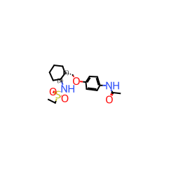 CCS(=O)(=O)N[C@H]1CCCC[C@@H]1COc1ccc(NC(C)=O)cc1